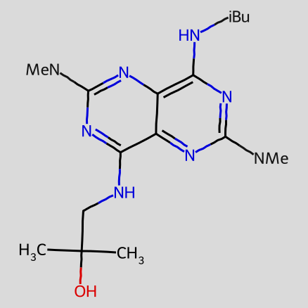 CCC(C)Nc1nc(NC)nc2c(NCC(C)(C)O)nc(NC)nc12